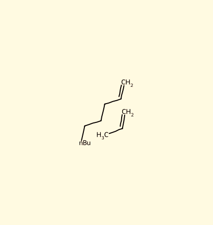 C=CC.C=CCCCCCCC